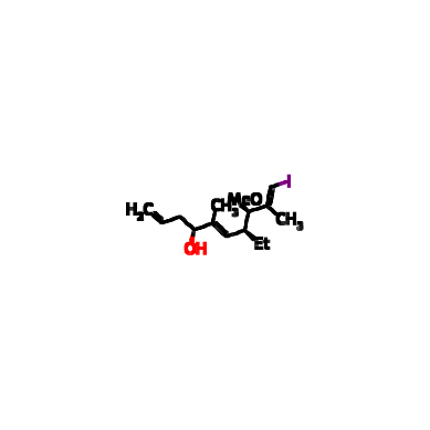 C=CC[C@H](O)/C(C)=C/[C@H](CC)[C@@H](OC)/C(C)=C/I